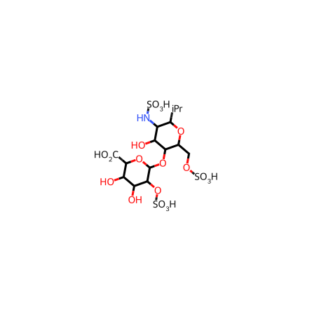 CC(C)C1OC(COS(=O)(=O)O)C(OC2OC(C(=O)O)C(O)C(O)C2OS(=O)(=O)O)C(O)C1NS(=O)(=O)O